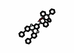 c1ccc(-c2ccc3c(c2)B2c4cc(-c5ccccc5)ccc4Oc4cc(N5c6ccccc6C6(c7ccccc7N(c7ccccc7)c7ccccc76)c6ccccc65)cc(c42)O3)cc1